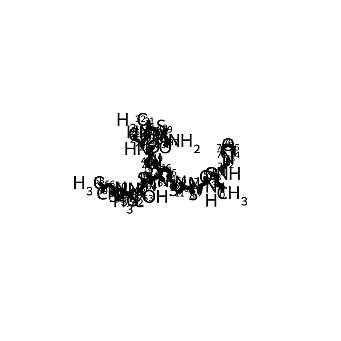 C/C=C(\NC(=O)c1csc(-c2csc(-c3ccc(-c4nc(C(=O)N[C@@H](CC)C(=O)N/C(=C\C)c5nc(C(N)=O)cs5)cs4)c(-c4csc([C@@H](NC(=O)c5csc(CC(C)C)n5)[C@@H](C)O)n4)n3)n2)n1)C(=O)NCCN1CCOCC1